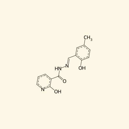 Cc1ccc(O)c(/C=N/NC(=O)c2cccnc2O)c1